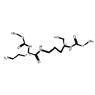 CC(C)(C)OC(=O)N[C@H](CO)CCCNC(=O)[C@H](CCCN)NC(=O)OC(C)(C)C